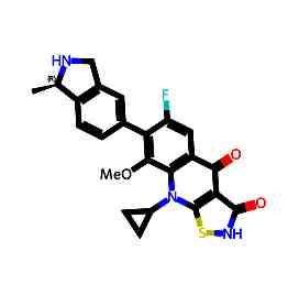 COc1c(-c2ccc3c(c2)CN[C@@H]3C)c(F)cc2c(=O)c3c(=O)[nH]sc3n(C3CC3)c12